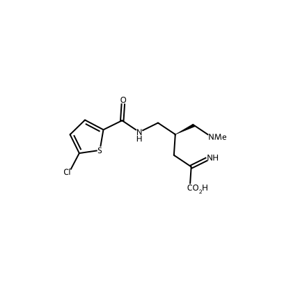 CNC[C@H](CNC(=O)c1ccc(Cl)s1)CC(=N)C(=O)O